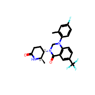 Cc1cc(F)ccc1N1CN([C@H]2CCC(=O)N[C@@H]2C)C(=O)c2cc(C(F)(F)F)ccc21